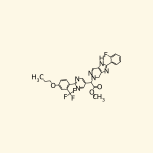 CCCOc1ccc(-c2ncc(C(C(=O)OC)N3Cc4nc(-c5ccccc5F)[nH]c4C=N3)cn2)c(C(F)(F)F)c1